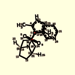 Cc1n[nH]c(C)c1S(=O)(=O)N1[C@@H]2CC[C@H]1CC(Oc1cnccn1)C2